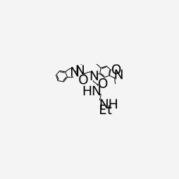 CCNCCNC(=O)CN(CC(=O)N(C)N1Cc2ccccc2C1)c1cc2c(C)noc2cc1C